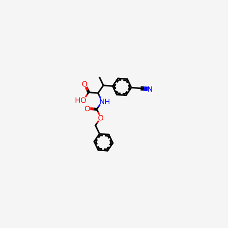 CC(c1ccc(C#N)cc1)C(NC(=O)OCc1ccccc1)C(=O)O